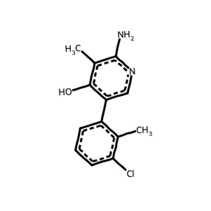 Cc1c(Cl)cccc1-c1cnc(N)c(C)c1O